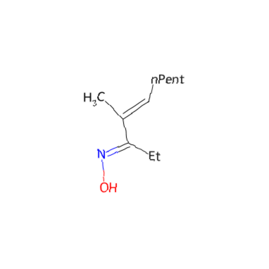 CCCCC/C=C(C)/C(CC)=N/O